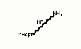 CCCCCCCCCCCCCCCC/C=C/N.F